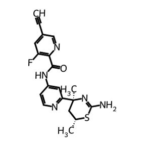 C#Cc1cnc(C(=O)Nc2ccnc([C@]3(C)C[C@@H](C)SC(N)=N3)c2)c(F)c1